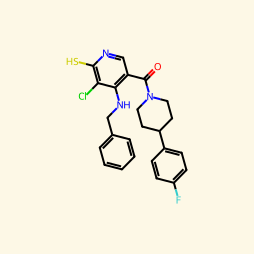 O=C(c1cnc(S)c(Cl)c1NCc1ccccc1)N1CCC(c2ccc(F)cc2)CC1